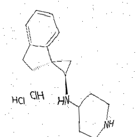 Cl.Cl.c1ccc2c(c1)CC[C@@]21C[C@H]1NC1CCNCC1